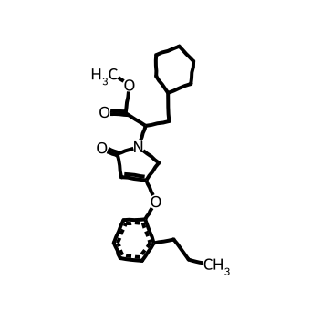 CCCc1ccccc1OC1=CC(=O)N(C(CC2CCCCC2)C(=O)OC)C1